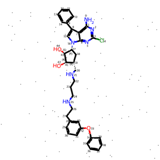 Nc1nc(Cl)nc2c1c(-c1ccccc1)cn2[C@@H]1C[C@H](CNCCCNCCc2cccc(Oc3ccccc3)c2)[C@@H](O)[C@H]1O